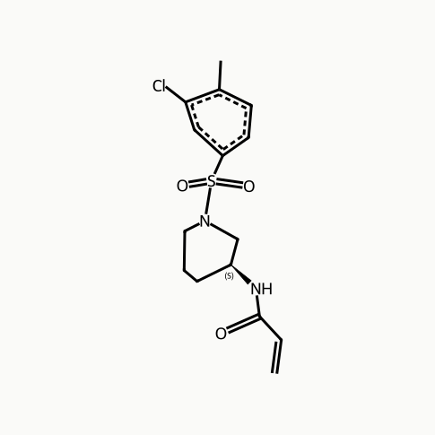 C=CC(=O)N[C@H]1CCCN(S(=O)(=O)c2ccc(C)c(Cl)c2)C1